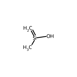 C=[Si](C)O